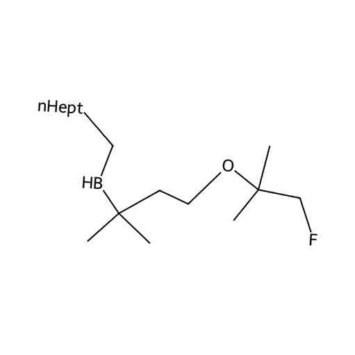 CCCCCCCCBC(C)(C)CCOC(C)(C)CF